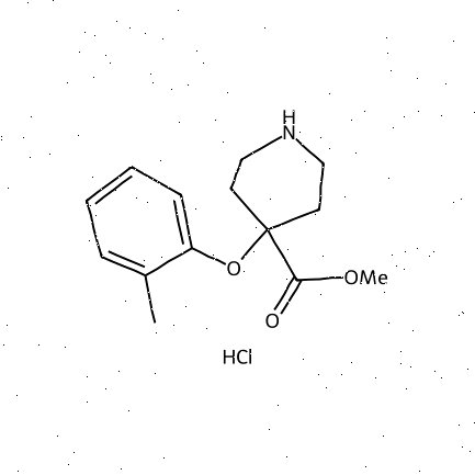 COC(=O)C1(Oc2ccccc2C)CCNCC1.Cl